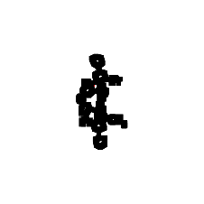 CC(C)c1cc(-c2ccccc2)cc(C(C)C)c1-n1ccnc1-c1cccc(Oc2cccc(-c3ncc4n3-c3c(C(C)C)cc(-c5ccccc5)cc3C4C)c2)c1